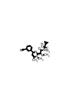 C=N/C(C(=O)NC(C)(C)C1CC1)=C1/N=C(c2cccc(C#N)c2)C=C(C)N1C